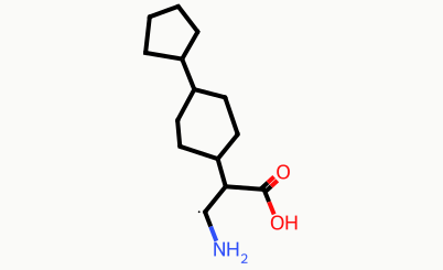 N[CH]C(C(=O)O)C1CCC(C2CCCC2)CC1